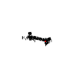 CCC(C(C)OCc1ccccc1)n1ncn(-c2ccc(N3CCN(c4ccc(-c5ccc(C(F)(F)C(O)(Cn6cncn6)c6ccc(F)cc6F)nc5)cc4)CC3)cc2)c1=O